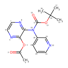 CC(=O)Oc1nccnc1N(C(=O)OC(C)(C)C)c1cccnc1